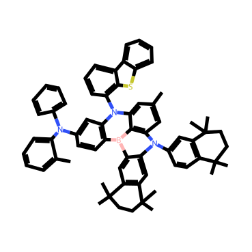 Cc1cc2c3c(c1)N(c1cccc4c1sc1ccccc14)c1cc(N(c4ccccc4)c4ccccc4C)ccc1B3c1cc3c(cc1N2c1ccc2c(c1)C(C)(C)CCC2(C)C)C(C)(C)CCC3(C)C